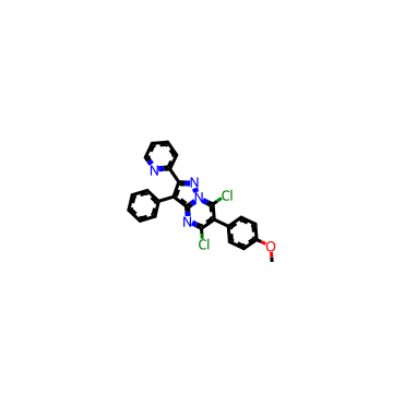 COc1ccc(-c2c(Cl)nc3c(-c4ccccc4)c(-c4ccccn4)nn3c2Cl)cc1